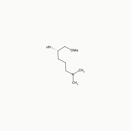 CCC[C@@H](CCCN(C)C)COC